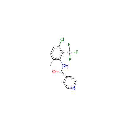 Cc1ccc(Cl)c(C(F)(F)F)c1NC(=O)c1ccncc1